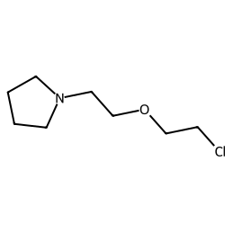 ClCCOCCN1CCCC1